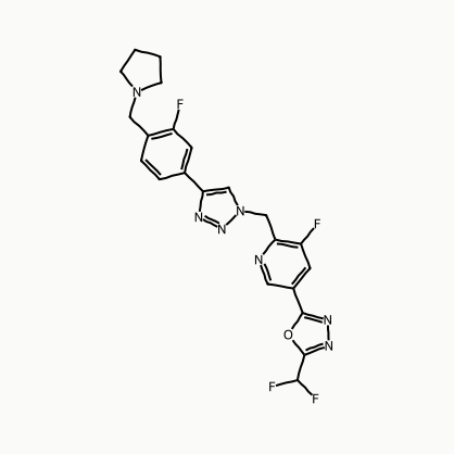 Fc1cc(-c2cn(Cc3ncc(-c4nnc(C(F)F)o4)cc3F)nn2)ccc1CN1CCCC1